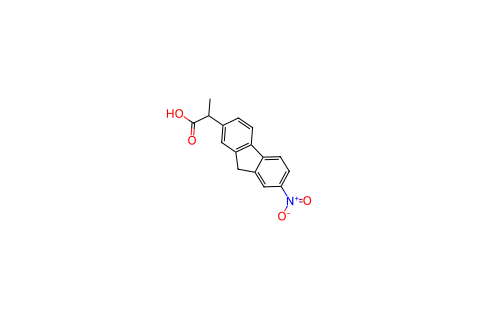 CC(C(=O)O)c1ccc2c(c1)Cc1cc([N+](=O)[O-])ccc1-2